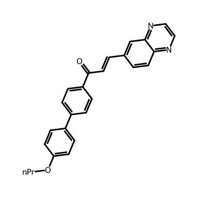 CCCOc1ccc(-c2ccc(C(=O)/C=C/c3ccc4nccnc4c3)cc2)cc1